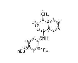 C=C(C)c1ccccc1C(=O)Nc1ccc(CCCC)cc1F